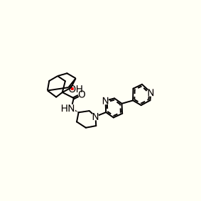 O=C(N[C@H]1CCCN(c2ccc(-c3ccncc3)cn2)C1)C12CC3CC(C1)C(O)C(C3)C2